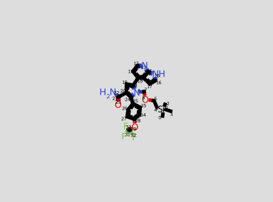 C[Si](C)(C)CCOCn1c(-c2ccnc3[nH]ccc23)cc(C(N)=O)c1-c1ccc(OC(F)(F)F)cc1